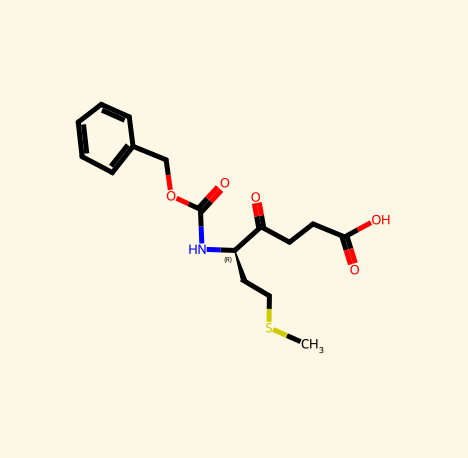 CSCC[C@@H](NC(=O)OCc1ccccc1)C(=O)CCC(=O)O